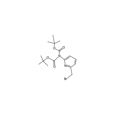 CC(C)(C)OC(=O)N(C(=O)OC(C)(C)C)c1cccc(CBr)n1